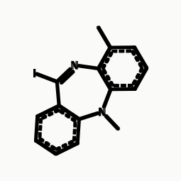 Cc1cccc2c1N=C(I)c1ccccc1N2C